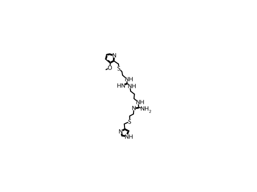 COc1cccnc1CSCCNC(=N)NCCCNC(N)=NCCSCc1c[nH]cn1